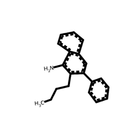 CCCCc1c(-c2ccccc2)cc2ccccc2c1N